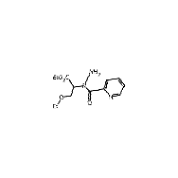 CCOCC(C(=O)OCC)N(N)C(=O)c1ccccn1